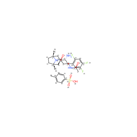 CC(=O)NCCC(=O)N1[C@@H]2CC[C@H]1C[C@H]([C@H](N)Cc1cc(F)c(F)cc1F)C2.Cc1ccc(S(=O)(=O)O)cc1